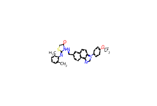 Cc1cccc(C)c1N=C1SCC(=O)N1N=Cc1ccc2c(ccc3c2ncn3-c2ccc(OC(F)(F)F)cc2)c1